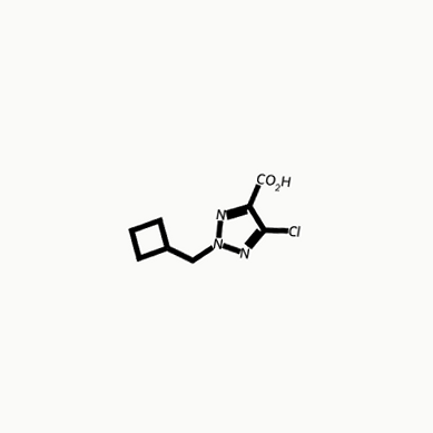 O=C(O)c1nn(CC2CCC2)nc1Cl